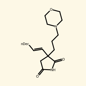 CCCCCCCCCCC=CC1(CCCN2CCOCC2)CC(=O)NC1=O